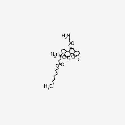 CCCCCCCCOC(=O)CC[C@@H](C)C1CCC2C3C(CCC21C)C1(C)CCCCC1C[C@H]3CC(=O)CCN